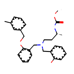 Cc1cccc(COc2ccccc2CN(CC[C@@H](NC(=O)OC(C)(C)C)C(=O)O)Cc2ccccc2O)c1